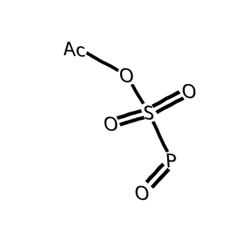 CC(=O)OS(=O)(=O)P=O